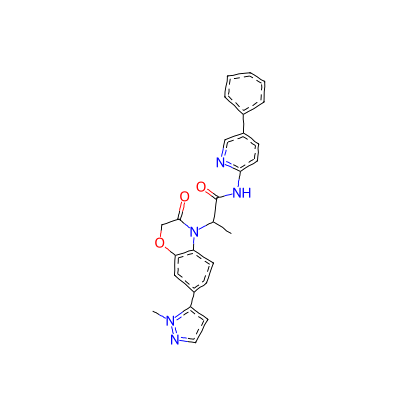 CC(C(=O)Nc1ccc(-c2ccccc2)cn1)N1C(=O)COc2cc(-c3ccnn3C)ccc21